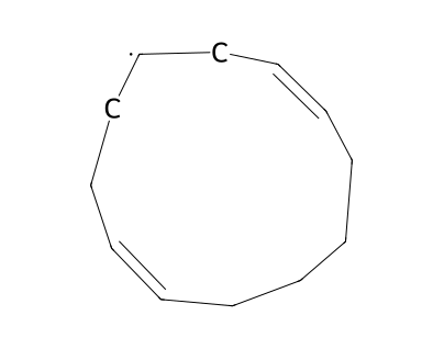 [CH]1CC=CCCCCC=CCC1